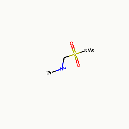 CNS(=O)(=O)CNC(C)C